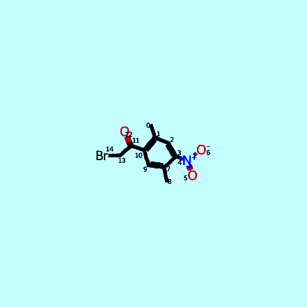 Cc1cc([N+](=O)[O-])c(C)cc1C(=O)CBr